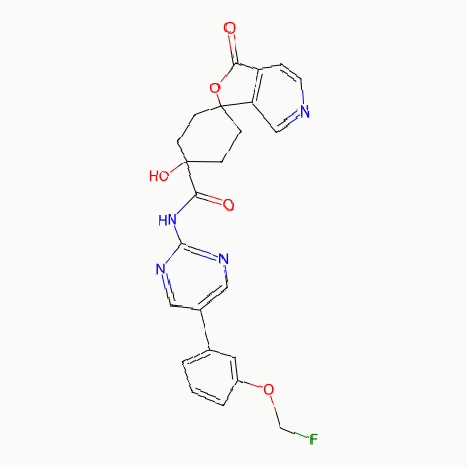 O=C1OC2(CCC(O)(C(=O)Nc3ncc(-c4cccc(OCF)c4)cn3)CC2)c2cnccc21